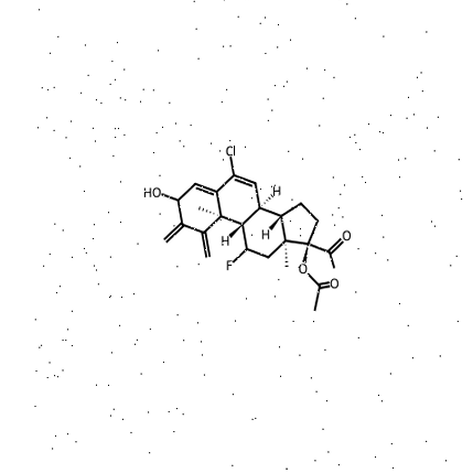 C=C1C(=C)[C@@]2(C)C(=CC1O)C(Cl)=C[C@@H]1[C@@H]2C(F)C[C@@]2(C)[C@H]1CC[C@]2(OC(C)=O)C(C)=O